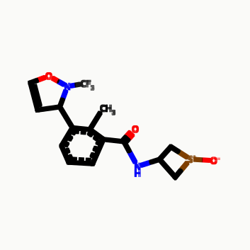 Cc1c(C(=O)NC2C[S+]([O-])C2)cccc1C1C=CON1C(F)(F)F